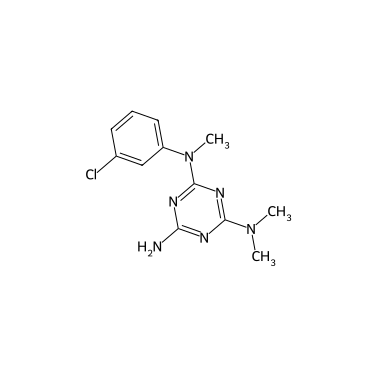 CN(C)c1nc(N)nc(N(C)c2cccc(Cl)c2)n1